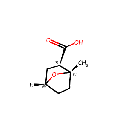 C[C@]12CC[C@H](C[C@H]1C(=O)O)O2